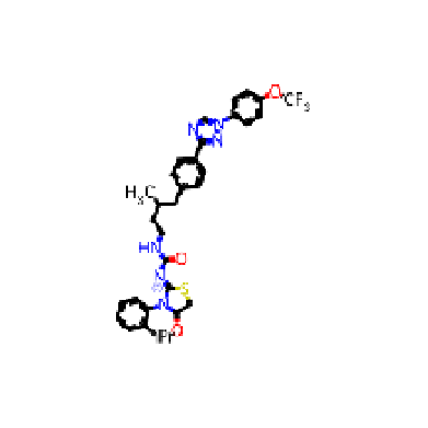 CC(CCNC(=O)/N=C1\SCC(=O)N1c1ccccc1C(C)C)Cc1ccc(-c2ncn(-c3ccc(OC(F)(F)F)cc3)n2)cc1